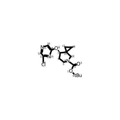 CC(C)(C)OC(=O)N1CC[C@@H](Oc2cncc(Cl)n2)C2(CC2)C1